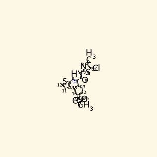 Cc1nc(NC(=O)/C(=C/c2cccs2)c2ccc(S(C)(=O)=O)cc2)sc1Cl